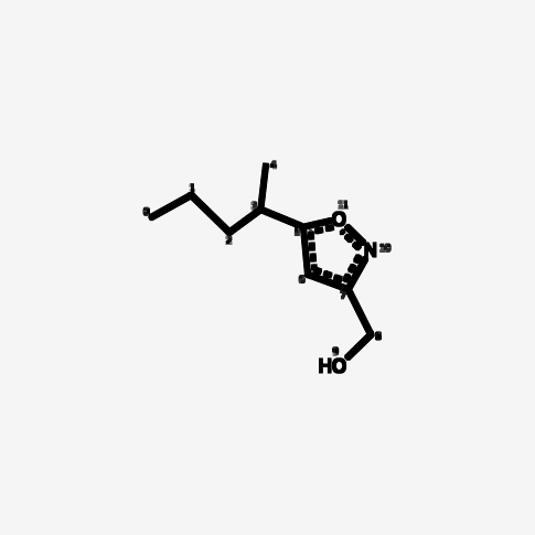 CCCC(C)c1cc(CO)no1